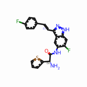 N[C@@H](C(=O)Nc1cc2c(/C=C/c3ccc(F)cc3)n[nH]c2cc1F)c1cccs1